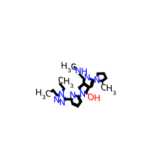 CCCn1c(CC)nnc1-c1cccc(N2Cc3c(cc(N4CCC[C@H]4C)nc3CNC)C2O)n1